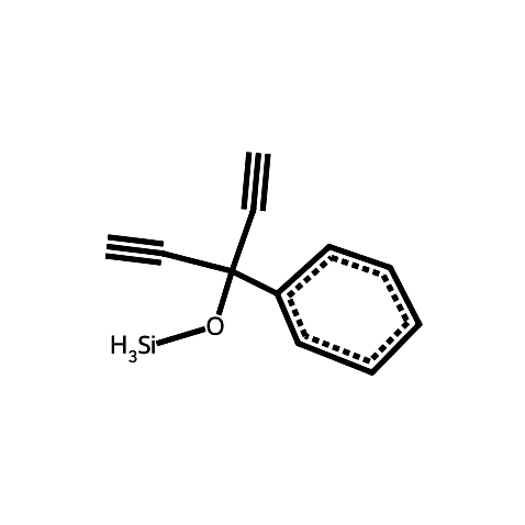 C#CC(C#C)(O[SiH3])c1ccccc1